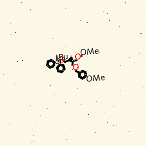 COCOCC1(COCc2ccc(OC)cc2)CC1CO[Si](c1ccccc1)(c1ccccc1)C(C)(C)C